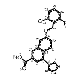 O=C(O)c1cc(-c2ccsc2)c2ccc(OCc3c(F)cccc3Cl)cc2c1